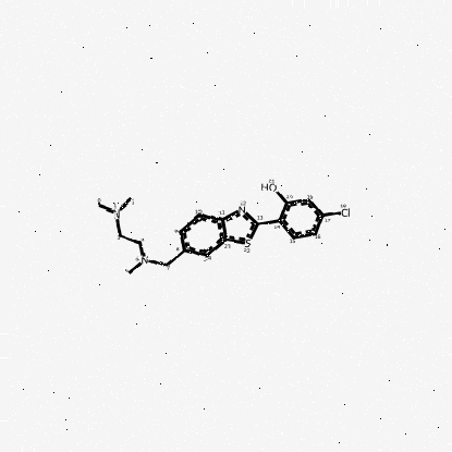 CN(C)CCN(C)Cc1ccc2nc(-c3ccc(Cl)cc3O)sc2c1